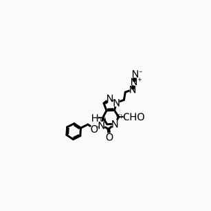 [N-]=[N+]=NCCn1ncc2c1[C@@H](C=O)N1C[C@@H]2N(OCc2ccccc2)C1=O